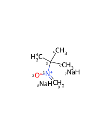 C=[N+]([O-])C(C)(C)C.[NaH].[NaH]